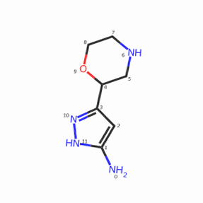 Nc1cc(C2CNCCO2)n[nH]1